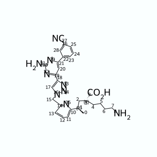 C[C@H](C[C@@H](CCCCN)C(=O)O)c1cccc(Cn2cc(-c3cc(-c4cccc(C#N)c4)nc(N)n3)nn2)n1